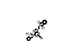 N#Cc1nc(N(N)CC2CCCC2)c2ncn(CCN3C(=O)c4ccccc4C3=O)c2n1